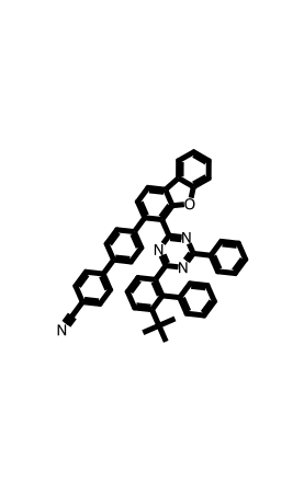 CC(C)(C)c1cccc(-c2nc(-c3ccccc3)nc(-c3c(-c4ccc(-c5ccc(C#N)cc5)cc4)ccc4c3oc3ccccc34)n2)c1-c1ccccc1